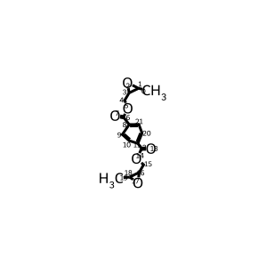 CC1OC1COC(=O)c1ccc(C(=O)OCC2OC2C)cc1